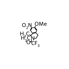 COc1cc2c(cc1[N+](=O)[O-])C(C)(C)N(C(=O)C(F)(F)F)CC2